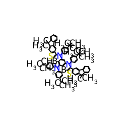 CC(C)(C)c1ccc(N2c3cc4c5c6c3B(c3cc(C(C)(C)C)ccc3N6c3ccc(C(C)(C)C)cc3B5c3sc5cc6c(cc5c3N4c3ccc(C(C)(C)C)cc3)-c3ccccc3C6(C)C)c3sc4cc5c(cc4c32)-c2ccccc2C5(C)C)cc1